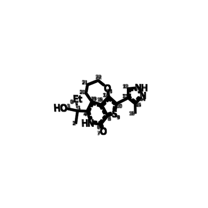 CC[C@](C)(O)c1[nH]c(=O)c2sc(-c3c[nH]nc3C)c3c2c1CCCO3